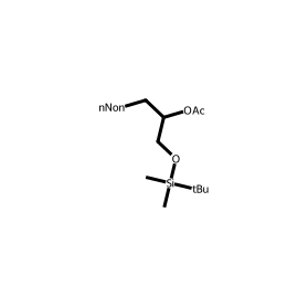 CCCCCCCCCCC(CO[Si](C)(C)C(C)(C)C)OC(C)=O